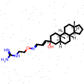 C[C@@]12CCC[C@H]1[C@@H]1CC[C@@H]3C[C@](O)(C=CC=NOCCNC(=N)N)CC[C@]3(C)[C@H]1CC2